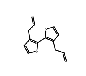 C=CCc1ccsc1-c1sccc1CC=C